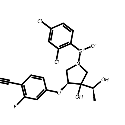 C[C@H](O)C1(O)CN([S+]([O-])c2ccc(Cl)cc2Cl)C[C@@H]1Oc1ccc(C#N)c(F)c1